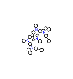 c1ccc(-c2ccc(-n3c4ccc(N(c5ccccc5)c5ccc6c(c5)C5(c7cc(N(c8ccccc8)c8ccc9c(c8)c8ccc%10ccccc%10c8n9-c8ccc(-c9ccccc9)cc8)ccc7-6)c6ccccc6N(c6ccccc6)c6ccccc65)cc4c4ccc5ccccc5c43)cc2)cc1